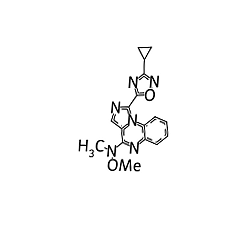 CON(C)c1nc2ccccc2n2c(-c3nc(C4CC4)no3)ncc12